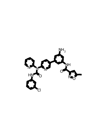 Cc1cc(C(=O)Nc2cc(N)cc(-c3ccc(N(C(=O)Nc4cccc(Cl)c4)c4ccccn4)nc3)c2)no1